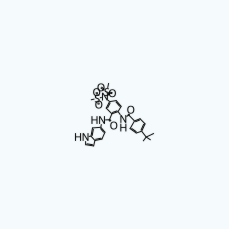 CC(C)(C)c1ccc(C(=O)Nc2ccc(N(S(C)(=O)=O)S(C)(=O)=O)cc2C(=O)Nc2ccc3cc[nH]c3c2)cc1